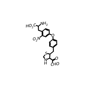 NC(Cc1ccc(Oc2ccc(CC3SCNC3C(=O)C=O)cc2)cc1[N+](=O)[O-])C(=O)O